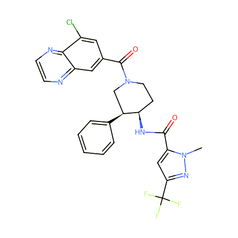 Cn1nc(C(F)(F)F)cc1C(=O)N[C@@H]1CCN(C(=O)c2cc(Cl)c3nccnc3c2)C[C@@H]1c1ccccc1